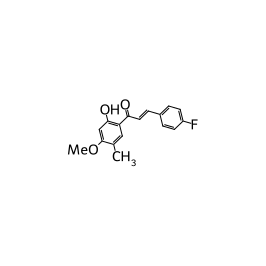 COc1cc(O)c(C(=O)/C=C/c2ccc(F)cc2)cc1C